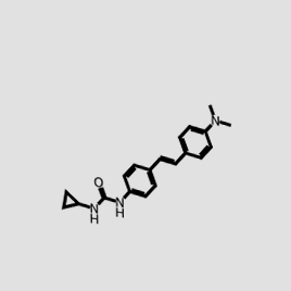 CN(C)c1ccc(C=Cc2ccc(NC(=O)NC3CC3)cc2)cc1